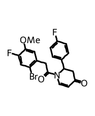 COc1cc(CC(=O)N2C=CC(=O)CC2c2ccc(F)cc2)c(Br)cc1F